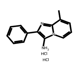 Cc1cccn2c(N)c(-c3ccccc3)nc12.Cl.Cl